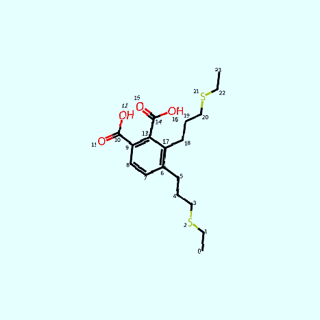 CCSCCCc1ccc(C(=O)O)c(C(=O)O)c1CCCSCC